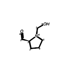 O=C[C@@H]1CCCN1CO